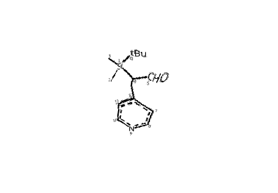 CC(C)(C)[Si](C)(C)C(C=O)c1ccncc1